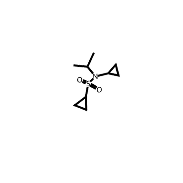 CC(C)N(C1CC1)S(=O)(=O)C1CC1